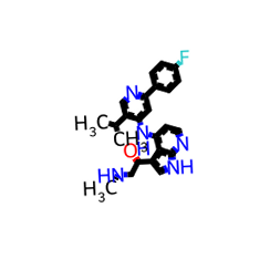 CNCC(=O)c1c[nH]c2nccc(Nc3cc(-c4ccc(F)cc4)ncc3C(C)C)c12